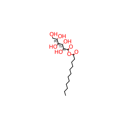 CCCCCCCCCCCC(=O)OC(=O)[C@H](O)[C@@H](O)[C@H](O)[C@H](O)CO